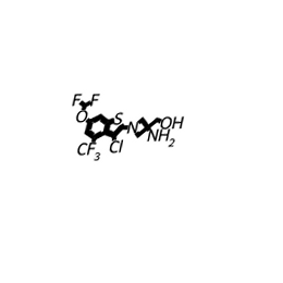 NC1(CO)CN(c2sc3cc(OC(F)F)cc(C(F)(F)F)c3c2Cl)C1